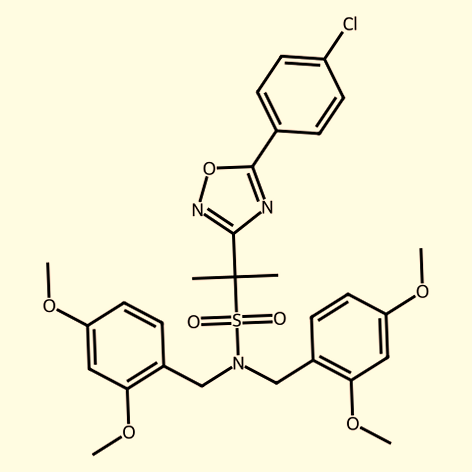 COc1ccc(CN(Cc2ccc(OC)cc2OC)S(=O)(=O)C(C)(C)c2noc(-c3ccc(Cl)cc3)n2)c(OC)c1